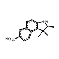 C=C1Nc2ccc3cc(C(=O)O)ccc3c2C1(C)C